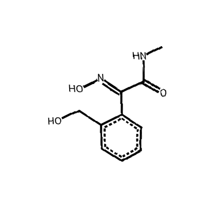 CNC(=O)/C(=N/O)c1ccccc1CO